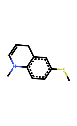 CSc1ccc2c(c1)CC=[C]N2C